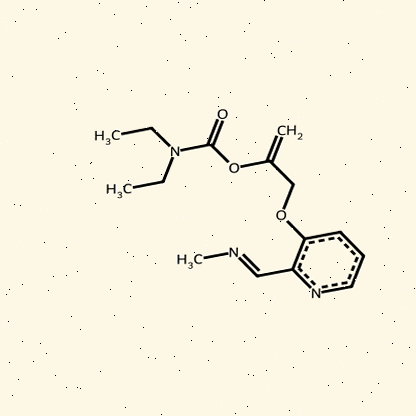 C=C(COc1cccnc1/C=N/C)OC(=O)N(CC)CC